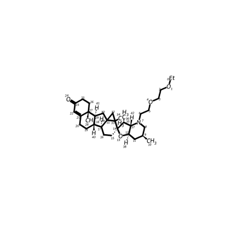 CCOCCOCCN1C[C@@H](C)C[C@H]2O[C@]3(CC[C@H]4[C@@H]5CCC6=CC(=O)CC[C@]6(C)[C@H]5CC45CC53C)[C@H](C)[C@@H]21